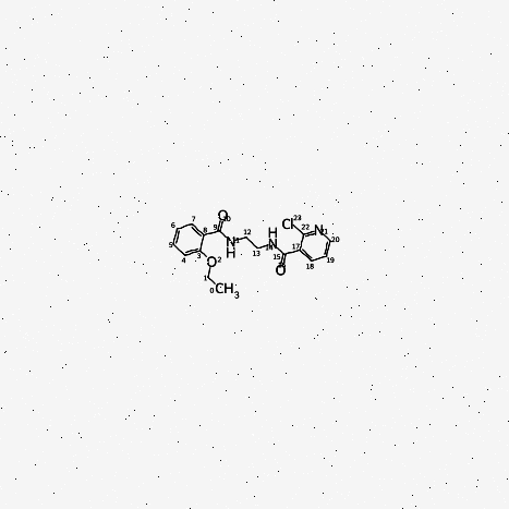 CCOc1ccccc1C(=O)NCCNC(=O)c1cccnc1Cl